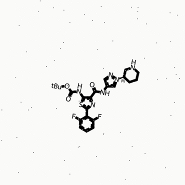 CC(C)(C)OC(=O)Nc1sc(-c2c(F)cccc2F)nc1C(=O)Nc1cnn([C@@H]2CCCNC2)c1